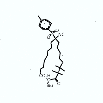 [C-]#[N+]C(CCCCCCCC(=O)O)(CCCCCC(C)(C)C(C)(C)C(=O)OC(C)CC)S(=O)(=O)c1ccc(C)cc1